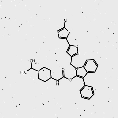 CC(C)N1CCC(NC(=O)Oc2c(-c3ccccc3)c3ccccc3n2Cc2cc(-c3ccc(Cl)s3)on2)CC1